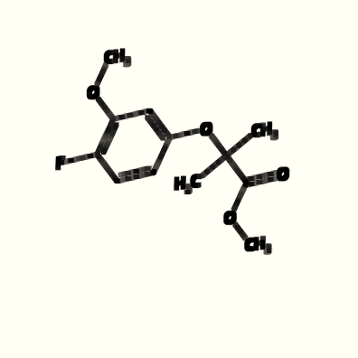 COC(=O)C(C)(C)Oc1ccc(F)c(OC)c1